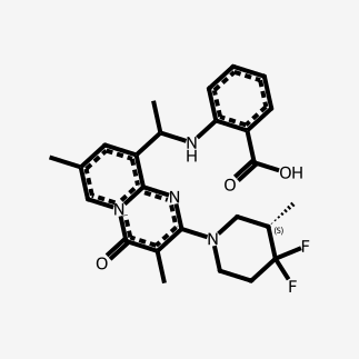 Cc1cc(C(C)Nc2ccccc2C(=O)O)c2nc(N3CCC(F)(F)[C@@H](C)C3)c(C)c(=O)n2c1